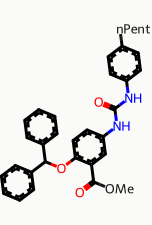 CCCCCc1ccc(NC(=O)Nc2ccc(OC(c3ccccc3)c3ccccc3)c(C(=O)OC)c2)cc1